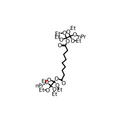 CCCOC(OCC)(OCC)C(OCC)(OCC)OC(=O)CCCCCCCC(=O)OC(OCC)(OCC)C(OCC)(OCC)OCCC